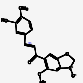 CCCOc1cc2c(cc1C(=O)/C=C/c1ccc(OC)c(O)c1)OC[S+]2[O-]